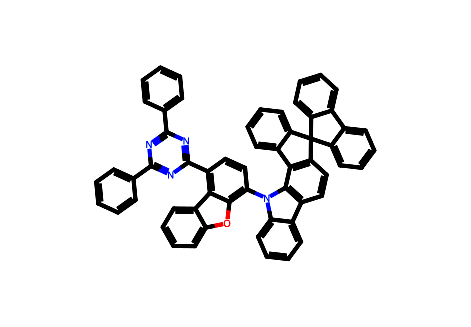 c1ccc(-c2nc(-c3ccccc3)nc(-c3ccc(-n4c5ccccc5c5ccc6c(c54)-c4ccccc4C64c5ccccc5-c5ccccc54)c4oc5ccccc5c34)n2)cc1